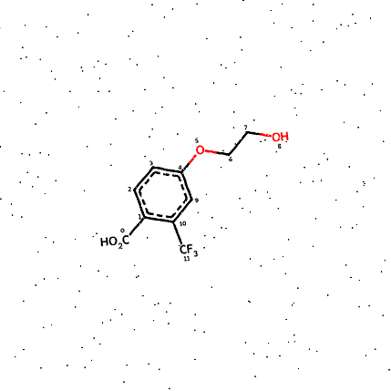 O=C(O)c1ccc(OCCO)cc1C(F)(F)F